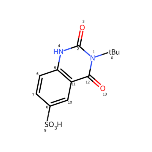 CC(C)(C)n1c(=O)[nH]c2ccc(S(=O)(=O)O)cc2c1=O